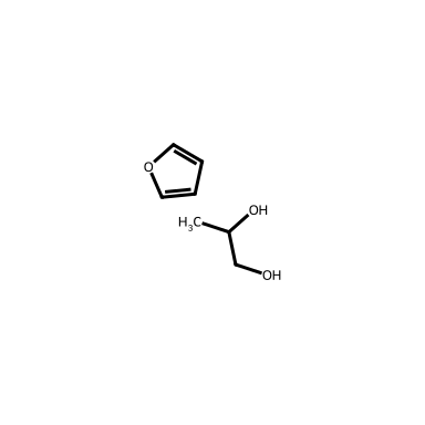 CC(O)CO.c1ccoc1